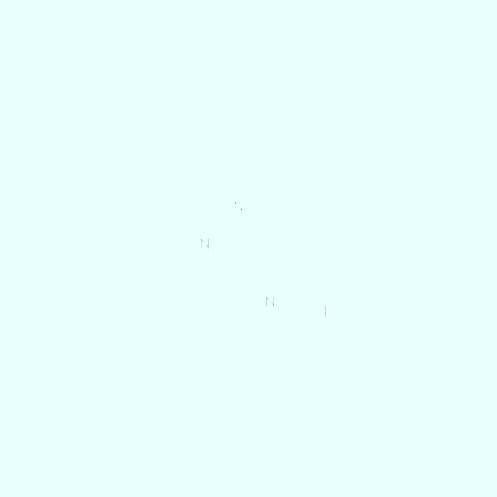 C=C(C)c1cnc(N2CCCC2)c2cnc(Cl)cc12